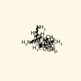 CC(=O)O[Si](OC(C)=O)(OC(C)=O)C(CCNc1nc(NCCN)nc(NCCN)n1)[Si](OC(C)=O)(OC(C)=O)OC(C)=O